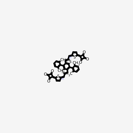 Cc1cccc(C)c1-c1c2cc(/C=c3/ccc(=C4C(=O)C(=O)C4=O)s3)sc2c(-c2c(C)cccc2C)c2cc(/C=c3/ccc(=C4C(=O)C(=O)C4=O)s3)sc12